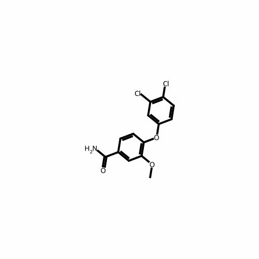 COc1cc(C(N)=O)ccc1Oc1ccc(Cl)c(Cl)c1